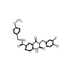 COc1ccc(CNC(=O)c2ccc3c(c2)C(=O)C(Cc2ccc(Cl)c(F)c2)C(=O)N3)cc1